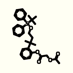 CC(=O)OCC(=O)Oc1ccccc1C(C)(C)CCO[Si](c1ccccc1)(c1ccccc1)C(C)(C)C